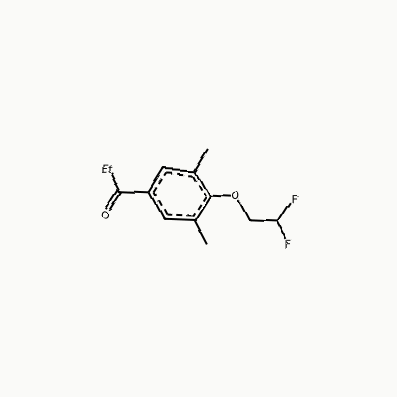 CCC(=O)c1cc(C)c(OCC(F)F)c(C)c1